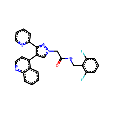 O=C(Cn1cc(-c2ccnc3ccccc23)c(-c2ccccn2)n1)NCc1c(F)cccc1F